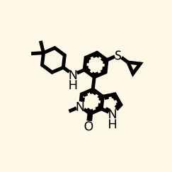 Cn1cc(-c2cc(SC3CC3)ccc2NC2CCC(C)(C)CC2)c2cc[nH]c2c1=O